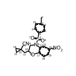 Cc1ccc(S(=O)(=O)N2CC(CC3(C#N)CC3)Oc3ccc([N+](=O)[O-])cc32)cc1